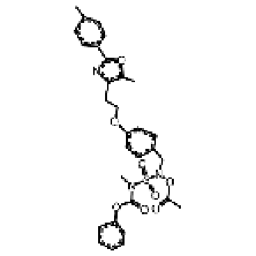 CC(=O)ON(Cc1ccc(OCCc2nc(-c3ccc(C)cc3)oc2C)cc1)S(=O)(=O)N(C)C(=O)Oc1ccccc1